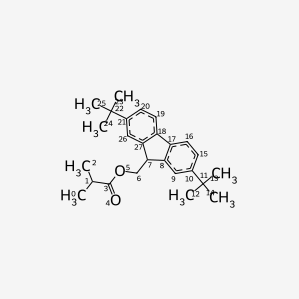 CC(C)C(=O)OCC1c2cc(C(C)(C)C)ccc2-c2ccc(C(C)(C)C)cc21